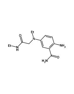 CCNC(=O)CN(CC)c1ccc(N)c(C(N)=O)c1